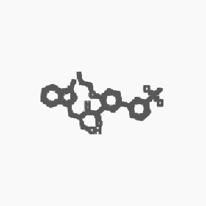 CCCOc1ccc(-c2cccc(S(C)(=O)=O)c2)cc1C(=O)N[C@@H](CO)Cc1cn(C)c2ccccc12